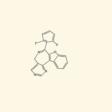 Fc1cccc(F)c1C1=NCc2cncnc2-c2c1oc1ccccc21